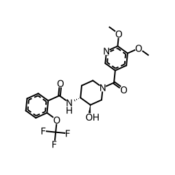 COc1cc(C(=O)N2CC[C@@H](NC(=O)c3ccccc3OC(F)(F)F)[C@H](O)C2)cnc1OC